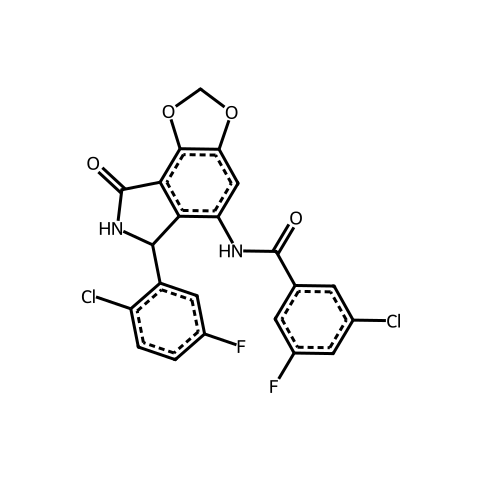 O=C(Nc1cc2c(c3c1C(c1cc(F)ccc1Cl)NC3=O)OCO2)c1cc(F)cc(Cl)c1